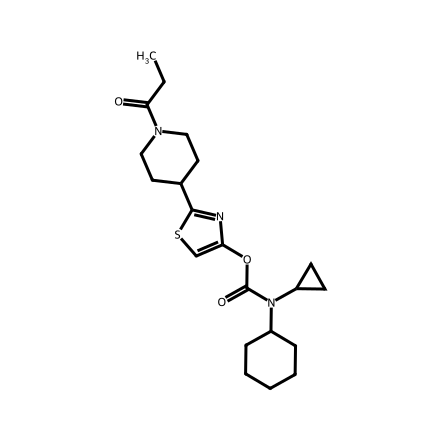 CCC(=O)N1CCC(c2nc(OC(=O)N(C3CCCCC3)C3CC3)cs2)CC1